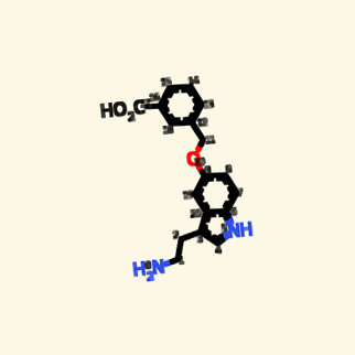 NCCc1c[nH]c2ccc(OCc3cccc(C(=O)O)c3)cc12